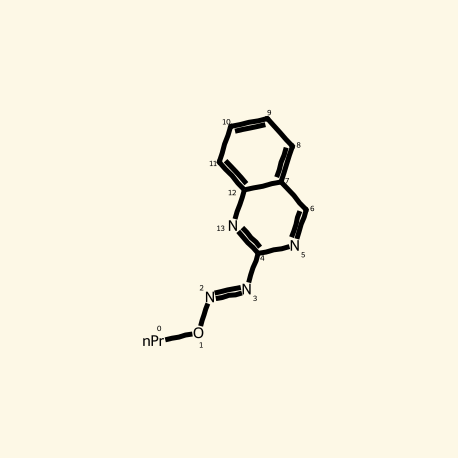 CCCON=Nc1ncc2ccccc2n1